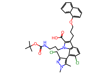 Cc1c(-c2c(Cl)ccc3c(CCCOc4cccc5ccccc45)c(C(=O)O)n(CCCNC(=O)OC(C)(C)C)c23)c(CCl)nn1C